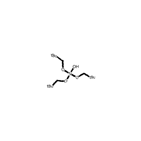 CC(C)(C)CO[Si](O)(OCC(C)(C)C)OCC(C)(C)C